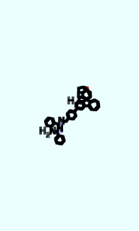 CC12CC3CC4CC(CC4C31)C21C2=CC=C=CC=C2c2cc(C3=CC=C(C/N=C(\N=C(/N)c4ccccc4)C4=CC=CCC4)CC3)ccc21